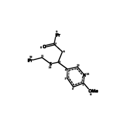 COc1ccc(C(CC(=O)C(C)C)SCC(C)C)cn1